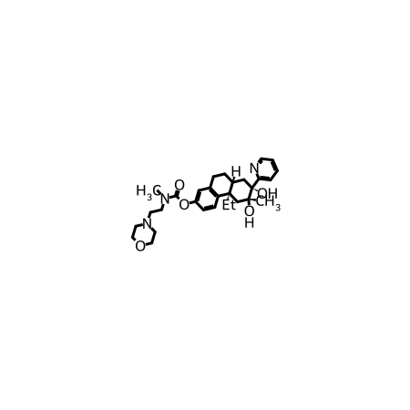 CC[C@@]12C[C@@](C)(O)[C@](O)(c3ccccn3)C[C@H]1CCc1cc(OC(=O)N(C)CCN3CCOCC3)ccc12